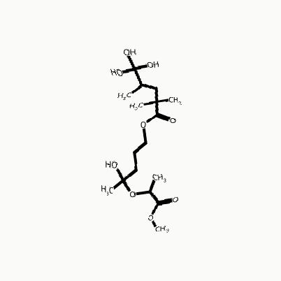 COC(=O)C(C)OC(C)(O)CCCOC(=O)C(C)(C)CC(C)C(O)(O)O